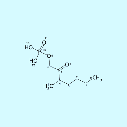 CCCCC(C)C(=O)COP(=O)(O)O